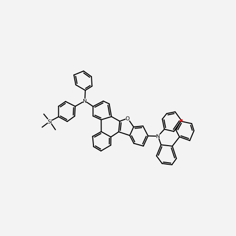 C[Si](C)(C)c1ccc(N(c2ccccc2)c2ccc3c(c2)c2ccccc2c2c4ccc(N(c5ccccc5)c5ccccc5-c5ccccc5)cc4oc32)cc1